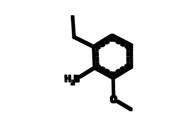 Bc1c(CC)cccc1OC